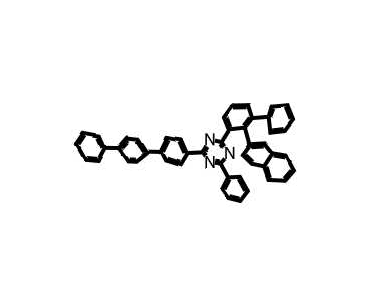 c1ccc(-c2ccc(-c3ccc(-c4nc(-c5ccccc5)nc(-c5cccc(-c6ccccc6)c5-c5ccc6ccccc6c5)n4)cc3)cc2)cc1